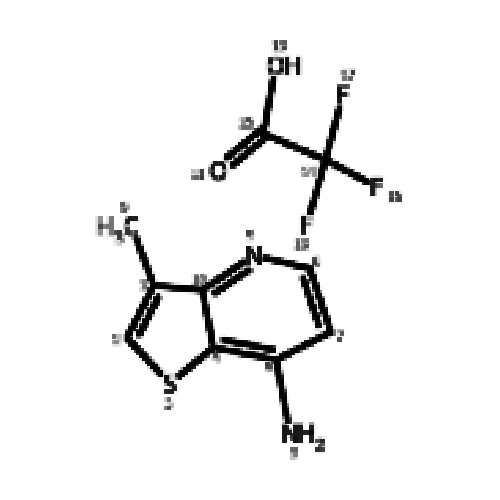 Cc1csc2c(N)ccnc12.O=C(O)C(F)(F)F